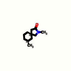 C[C@@H]1CCC[C@]2(CC(=O)N(C)C2)C1